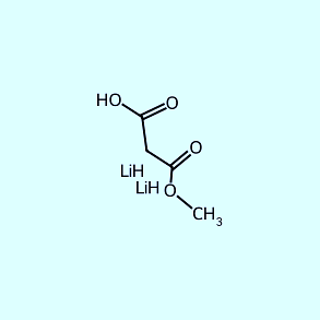 COC(=O)CC(=O)O.[LiH].[LiH]